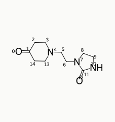 O=C1CCN(CCN2CCNC2=O)CC1